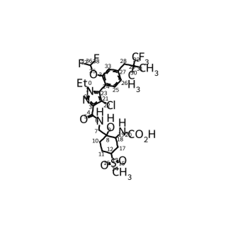 CCn1nc(C(=O)NCC2(O)CCC(S(C)(=O)=O)CC2NC(=O)O)c(Cl)c1-c1ccc(CC(C)(C)C(F)(F)F)cc1OC(F)F